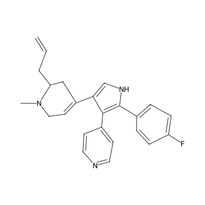 C=CCC1CC(c2c[nH]c(-c3ccc(F)cc3)c2-c2ccncc2)=CCN1C